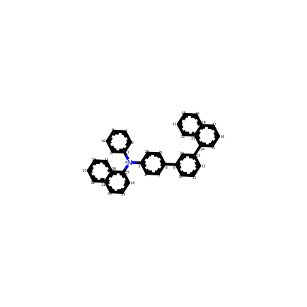 c1ccc(N(c2ccc(-c3cccc(-c4cccc5ccccc45)c3)cc2)c2cccc3ccccc23)cc1